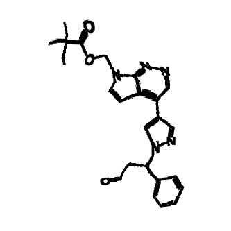 CC(C)(C)C(=O)OCn1ccc2c(-c3cnn([C@H](CC=O)c4ccccc4)c3)cnnc21